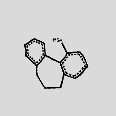 [SeH]c1cccc2c1-c1ccccc1CCC2